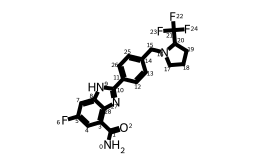 NC(=O)c1cc(F)cc2[nH]c(-c3ccc(CN4CCCC4C(F)(F)F)cc3)nc12